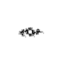 BP1(=O)OC[C@H]2O[C@@H](n3cnc4c(=O)[nH]c(N)nc43)[C@H](F)[C@@H]2OP(=O)(S)OC[C@H]2O[C@@H](n3cnc4c(N)ncnc43)[C@H](F)[C@@H]2O1